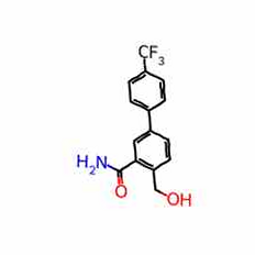 NC(=O)c1cc(-c2ccc(C(F)(F)F)cc2)ccc1CO